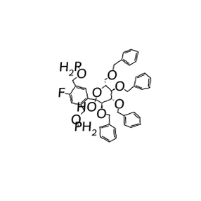 OC1(c2cc(COP)c(F)cc2COP)O[C@H](COCc2ccccc2)[C@@H](OCc2ccccc2)[C@H](OCc2ccccc2)[C@H]1OCc1ccccc1